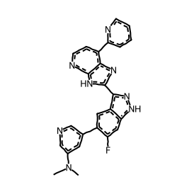 CN(C)c1cncc(-c2cc3c(-c4nc5c(-c6ccccn6)ccnc5[nH]4)n[nH]c3cc2F)c1